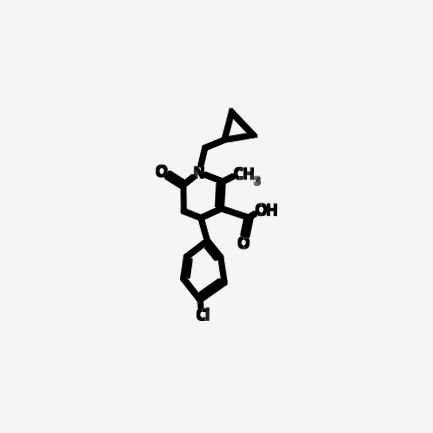 CC1=C(C(=O)O)C(c2ccc(Cl)cc2)CC(=O)N1CC1CC1